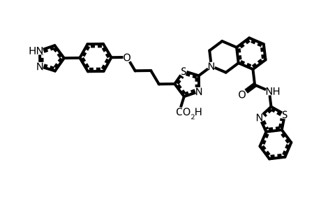 O=C(Nc1nc2ccccc2s1)c1cccc2c1CN(c1nc(C(=O)O)c(CCCOc3ccc(-c4cn[nH]c4)cc3)s1)CC2